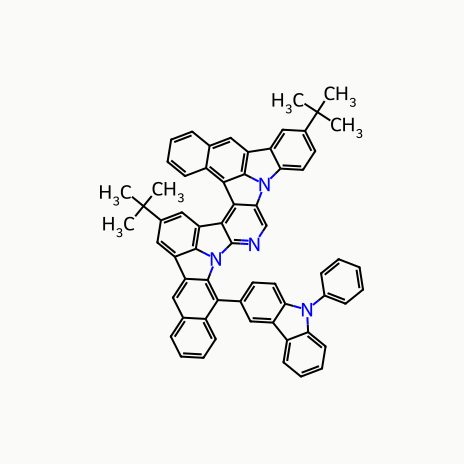 CC(C)(C)c1ccc2c(c1)c1cc3ccccc3c3c4c5c6cc(C(C)(C)C)cc7c8cc9ccccc9c(-c9ccc%10c(c9)c9ccccc9n%10-c9ccccc9)c8n(c5ncc4n2c13)c76